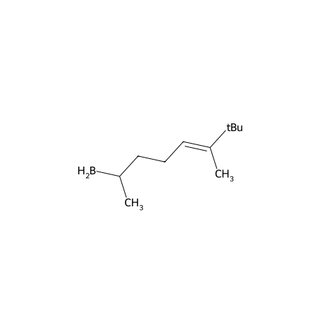 BC(C)CC/C=C(\C)C(C)(C)C